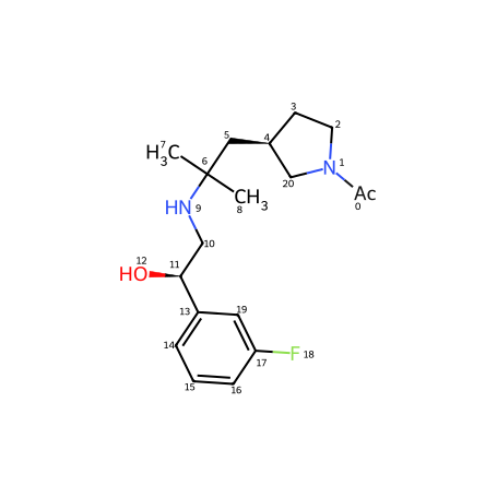 CC(=O)N1CC[C@H](CC(C)(C)NC[C@H](O)c2cccc(F)c2)C1